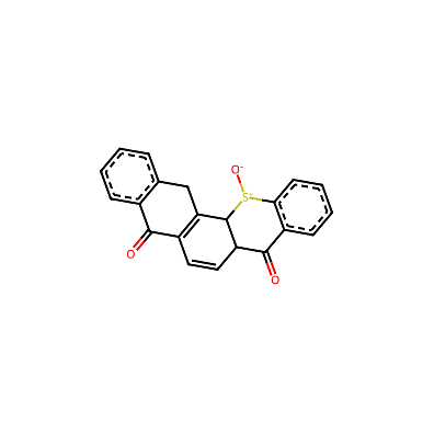 O=C1C2=C(Cc3ccccc31)C1C(C=C2)C(=O)c2ccccc2[S+]1[O-]